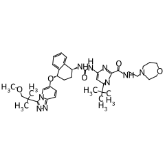 COCC(C)(C)c1nnc2ccc(O[C@@H]3CC[C@H](NC(=O)Nc4cc(C(C)(C)C)nc(C(=O)NCCN5CCCOCC5)n4)c4ccccc43)cn12